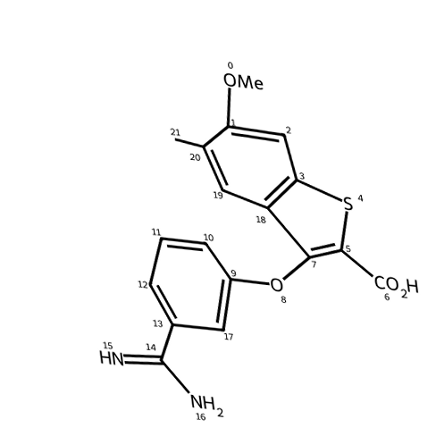 COc1cc2sc(C(=O)O)c(Oc3cccc(C(=N)N)c3)c2cc1C